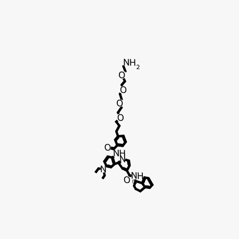 CCN(CC)c1ccc(NC(=O)c2cccc(CCCOCCOCCOCCOCCN)c2)c(-c2cc(C(=O)N[C@H]3CCCc4ccccc43)ccn2)c1